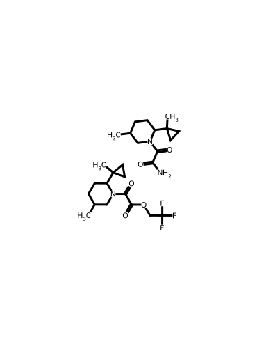 CC1CCC(C2(C)CC2)N(C(=O)C(=O)OCC(F)(F)F)C1.CC1CCC(C2(C)CC2)N(C(=O)C(N)=O)C1